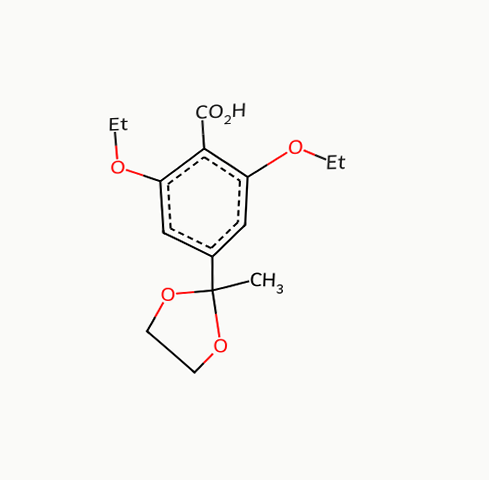 CCOc1cc(C2(C)OCCO2)cc(OCC)c1C(=O)O